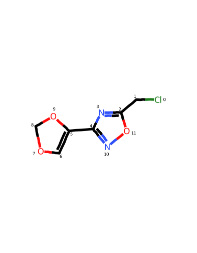 ClCc1nc(C2=COCO2)no1